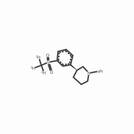 [2H]C([2H])([2H])S(=O)(=O)c1cccc([C@@H]2CCCN(CCC)C2)c1